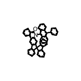 O=c1c2ccccc2c2cc3c(cc2n1-c1c2ccccc2c(-c2ccccc2)c2ccccc12)C1(c2ccccc2-c2ccccc21)c1ccccc1-3